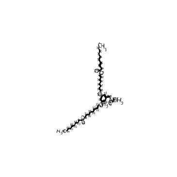 CCCCCCCCCC(=O)OCCCCCCCCOc1cc(CN(C)C)cc(OCCCCCCCCOC(=O)CCCCCCCCC)c1